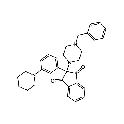 O=C1c2ccccc2C(=O)C1(c1cccc(N2CCCCC2)c1)N1CCN(Cc2ccccc2)CC1